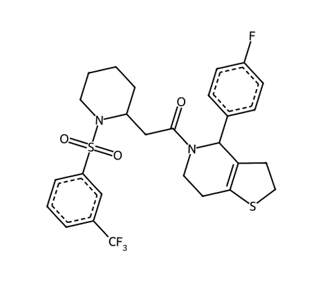 O=C(CC1CCCCN1S(=O)(=O)c1cccc(C(F)(F)F)c1)N1CCC2=C(CCS2)C1c1ccc(F)cc1